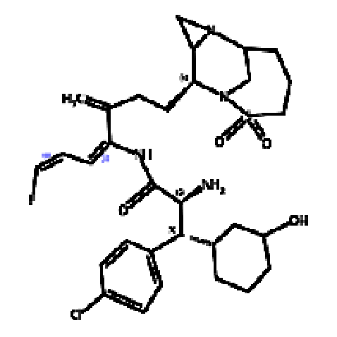 C=C(CC[C@H]1C2CN2C2CCCS(=O)(=O)N1C2)/C(=C\C=C/F)NC(=O)[C@@H](N)[C@@H](c1ccc(Cl)cc1)C1CCCC(O)C1